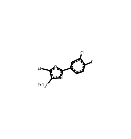 CCOC(=O)c1nc(-c2ccc(F)c(Cl)c2)oc1CC